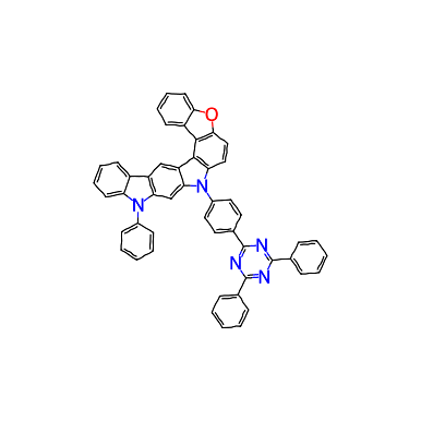 c1ccc(-c2nc(-c3ccccc3)nc(-c3ccc(-n4c5cc6c(cc5c5c7c(ccc54)oc4ccccc47)c4ccccc4n6-c4ccccc4)cc3)n2)cc1